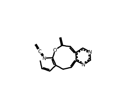 C=C=N/C1=C(\C=C/C)C/C=c2/ncnc/c2=C/C(=C)O1